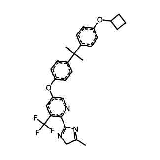 CC1=NC(c2ncc(Oc3ccc(C(C)(C)c4ccc(OC5CCC5)cc4)cc3)cc2C(F)(F)F)=NC1